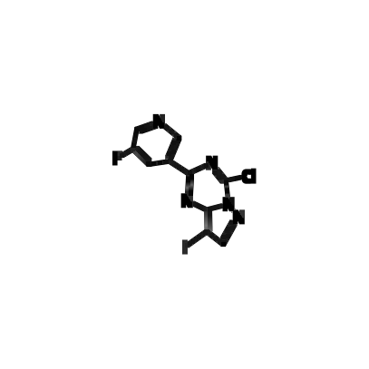 Fc1cncc(-c2nc(Cl)n3ncc(I)c3n2)c1